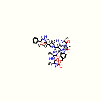 CC[C@H](C)[C@@H](CNC(=O)[C@@H](NC(=O)C(C(C)C)N(C)C(=O)OCc1ccc(NC(=O)[C@H](C)NC(=O)[C@@H](N)C(C)C)cc1)C(C)C)[C@@H](OC)[C@@H](C=O)N1CC[C@H]([C@@H](OC)[C@](C)(C=O)N[C@H](C)[C@@H](O)c2ccccc2)C1